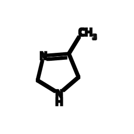 CC1=NCNC1